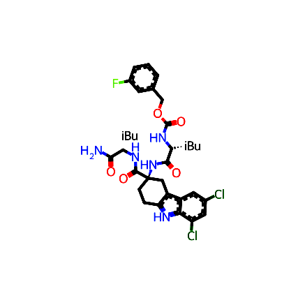 CC[C@H](C)C(NC(=O)[C@@]1(NC(=O)C(NC(=O)OCc2cccc(F)c2)[C@@H](C)CC)CCc2[nH]c3c(Cl)cc(Cl)cc3c2C1)C(N)=O